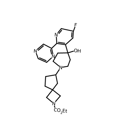 CCOC(=O)N1CC2(CCC(N3CCC(O)(c4cc(F)cnc4-c4cnccn4)CC3)C2)C1